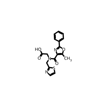 Cc1oc(-c2ccccc2)nc1C(=O)N(CC(=O)O)Cc1nccs1